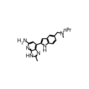 CCCN(C)Cc1ccc2[nH]c(-c3cc(N)nc4[nH]c(C)nc34)cc2c1